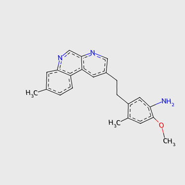 COc1cc(C)c(CCc2cnc3cnc4cc(C)ccc4c3c2)cc1N